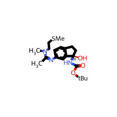 CSCCN(C)C(C)=Nc1ccc2c(c1)[C@@](O)(NC(=O)OC(C)(C)C)CC2